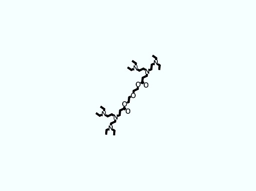 CCN(CC)CCN(CCC(=O)OCCOCCOC(=O)CCN(CCN(CC)CC)CCN(CC)CC)CCN(CC)CC